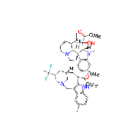 CC[C@]12C=CCN3CC[C@@]4(c5cc([C@@]6(C(=O)OC)C[C@H]7CC(C(C)(F)F)CN(Cc8c6[nH]c6ccc(C)cc86)C7)c(OC)cc5N(C)[C@H]4[C@@](O)(C(=O)OC)[C@@H]1C)[C@@H]32